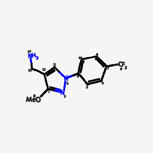 COc1nn(-c2ccc(C(F)(F)F)cc2)cc1CN